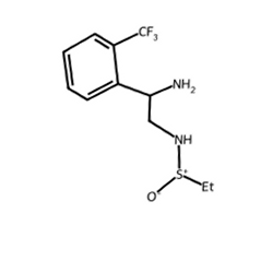 CC[S+]([O-])NCC(N)c1ccccc1C(F)(F)F